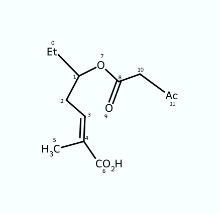 CCC(CC=C(C)C(=O)O)OC(=O)CC(C)=O